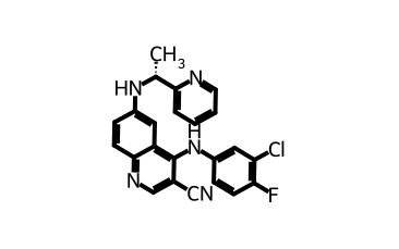 C[C@@H](Nc1ccc2ncc(C#N)c(Nc3ccc(F)c(Cl)c3)c2c1)c1ccccn1